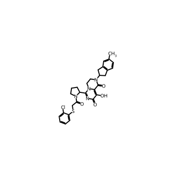 Cc1ccc2c(c1)CC(N1CCn3c(C4CCCN4C(=O)CSc4ccccc4Cl)nc(=O)c(O)c3C1=O)C2